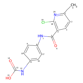 Cc1ccc(C(=O)Nc2ccc(NC(=O)O)cc2)c(Cl)n1